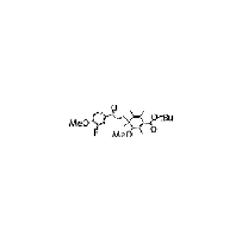 COc1ccc(C(=O)C=CC2(C)C(C)=C(C)C(C(=O)OC(C)(C)C)=C(C)C2OC)cc1F